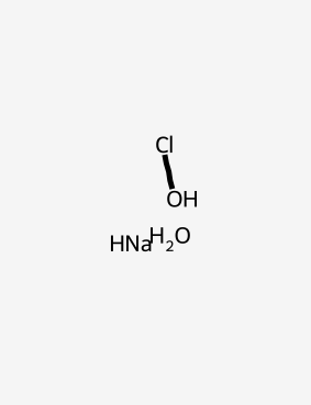 O.OCl.[NaH]